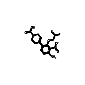 Nc1ccc(C2=CCN(C(=O)O)CC2)c(OCC(F)F)c1[N+](=O)[O-]